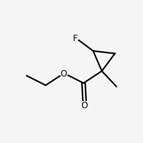 CCOC(=O)C1(C)CC1F